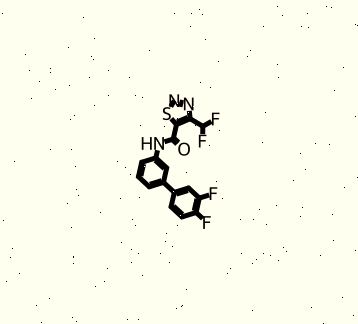 O=C(Nc1cccc(-c2ccc(F)c(F)c2)c1)c1snnc1C(F)F